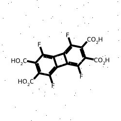 O=C(O)c1c(F)c2c(c(F)c1C(=O)O)-c1c(F)c(C(=O)O)c(C(=O)O)c(F)c1-2